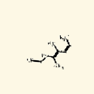 C/C=C\C(C)=C(/C)NCCl